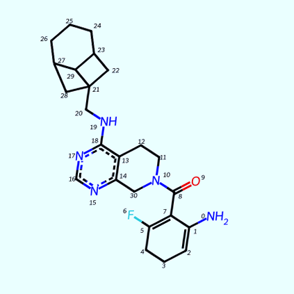 NC1=CCCC(F)=C1C(=O)N1CCc2c(ncnc2NCC23CC4CCCC(C2)C43)C1